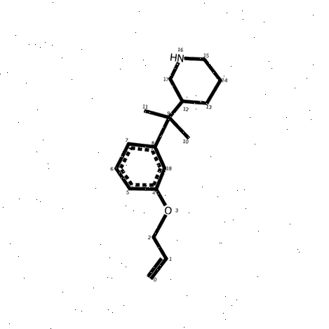 C=CCOc1cccc(C(C)(C)C2CCCNC2)c1